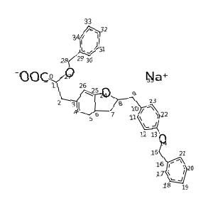 O=C([O-])C(CC1=CCC2CC(Cc3ccc(OCc4ccccc4)cc3)OC2=C1)OCc1ccccc1.[Na+]